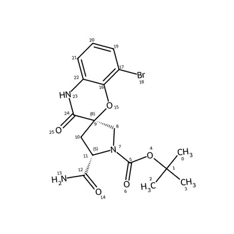 CC(C)(C)OC(=O)N1C[C@@]2(C[C@H]1C(N)=O)Oc1c(Br)cccc1NC2=O